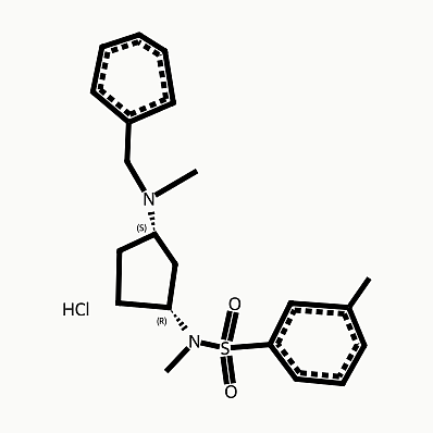 Cc1cccc(S(=O)(=O)N(C)[C@@H]2CC[C@H](N(C)Cc3ccccc3)C2)c1.Cl